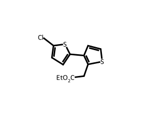 CCOC(=O)Cc1sccc1-c1ccc(Cl)s1